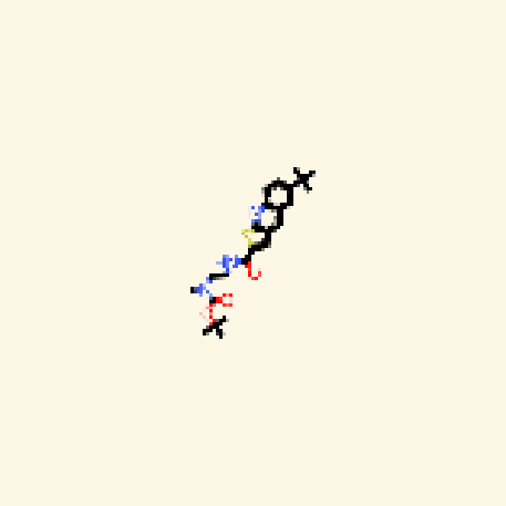 CN(CCNC(=O)c1cc2cc3cc(C(C)(C)C)ccc3nc2s1)C(=O)OC(C)(C)C